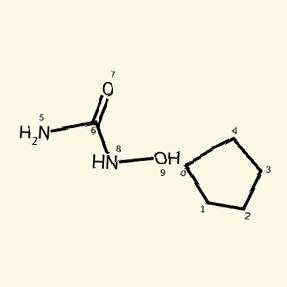 C1CCCC1.NC(=O)NO